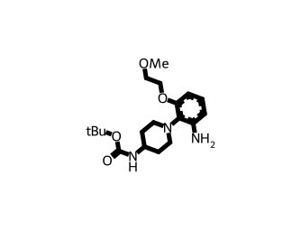 COCCOc1cccc(N)c1N1CCC(NC(=O)OC(C)(C)C)CC1